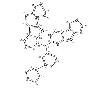 c1ccc(-c2cccc(N(c3ccc4c(c3)oc3ccccc34)c3cccc4c3oc3c5ccccc5ccc43)c2)cc1